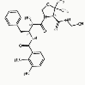 Cc1c(O)cccc1C(=O)N[C@@H](Cc1ccccc1)[C@H](O)C(=O)N1COC(C)(C)[C@H]1C(=O)NCC#N